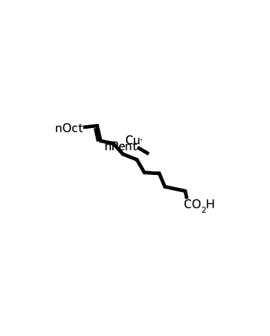 CCCCCC.CCCCCCCCC=CCCCCCCCC(=O)O.[Cu]